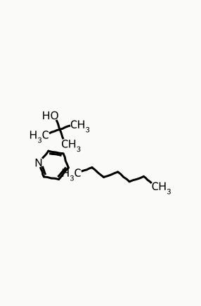 CC(C)(C)O.CCCCCCC.c1ccncc1